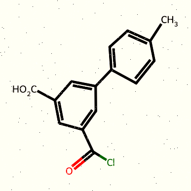 Cc1ccc(-c2cc(C(=O)O)cc(C(=O)Cl)c2)cc1